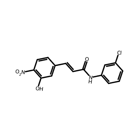 O=C(C=Cc1ccc([N+](=O)[O-])c(O)c1)Nc1cccc(Cl)c1